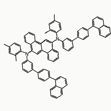 Cc1ccc(N(c2cccc(-c3ccc(-c4cccc5ccccc45)cc3)c2)c2cc3c4ccccc4c(N(c4cccc(-c5ccc(-c6cccc7ccccc67)cc5)c4)c4ccc(C)cc4C)cc3c3ccccc23)c(C)c1